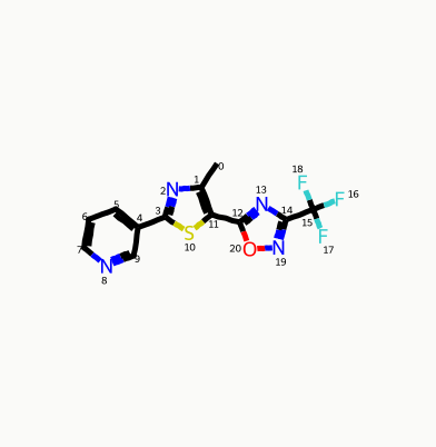 Cc1nc(-c2cccnc2)sc1-c1nc(C(F)(F)F)no1